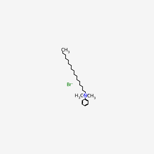 CCCCCCCCCCCCCCCCC[N+](C)(C)c1ccccc1.[Br-]